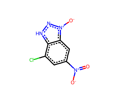 O=[N+]([O-])c1cc(Cl)c2[nH]n[n+]([O-])c2c1